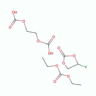 CCOC(=O)OCC.O=C(O)OCCOC(=O)O.O=C1OCC(F)O1